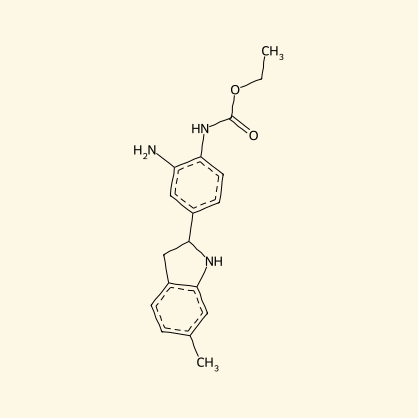 CCOC(=O)Nc1ccc(C2Cc3ccc(C)cc3N2)cc1N